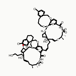 C[C@@H]1C[C@@H]2[C@@H]1CN1C[C@@]3(CCCc4cc(Cl)ccc43)COc3cc(/C=C\CC[C@@]4(O)/C=C/C[C@H](C)[C@@H](C)S(=O)(=O)NC(=O)c5ccc6c(c5)N(CCCCc5cc(Cl)ccc5CO6)C[C@@H]5CC[C@H]54)c(cc31)C(=O)NS(=O)(=O)[C@H](C)[C@@H](C)C/C=C/[C@@]2(O)CCCO